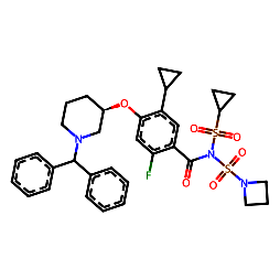 O=C(c1cc(C2CC2)c(O[C@@H]2CCCN(C(c3ccccc3)c3ccccc3)C2)cc1F)N(S(=O)(=O)C1CC1)S(=O)(=O)N1CCC1